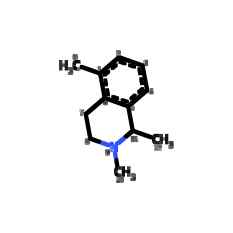 Cc1cccc2c1CCN(C)C2C